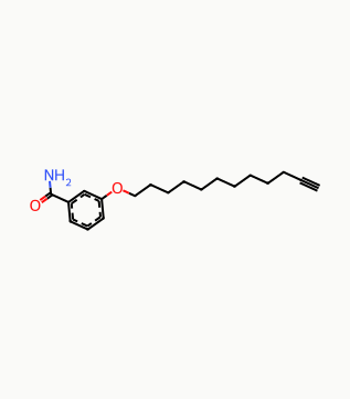 C#CCCCCCCCCCCOc1cccc(C(N)=O)c1